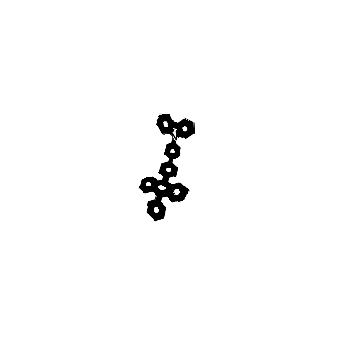 c1ccc(-c2c3ccccc3c(-c3ccc(-c4ccc(-n5c6ccccc6c6ccccc65)cc4)cc3)c3ccccc23)cc1